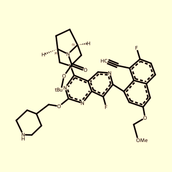 C#Cc1c(F)ccc2cc(OCOC)cc(-c3ncc4c(N5C[C@H]6CC[C@@H](C5)N6C(=O)OC(C)(C)C)nc(OCC5CCNCC5)nc4c3F)c12